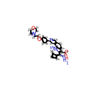 NC(c1[nH]c2c(c1C(=O)O)CCc1cnc(-c3ccc(OCCN4CCOCC4)cc3)cc1-2)C1CCC1